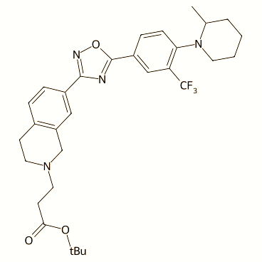 CC1CCCCN1c1ccc(-c2nc(-c3ccc4c(c3)CN(CCC(=O)OC(C)(C)C)CC4)no2)cc1C(F)(F)F